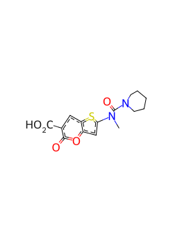 CN(C(=O)N1CCCCC1)c1cc2oc(=O)c(C(=O)O)cc2s1